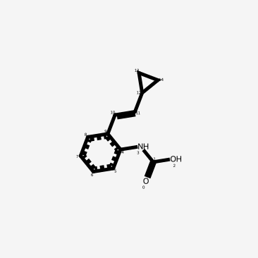 O=C(O)Nc1ccccc1/C=C/C1CC1